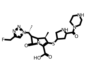 C[C@H](C1C(=O)N2C(C(=O)O)=C(SC3CNC(C(=O)N4CCNCC4)C3)[C@H](C)C12)n1cc(CF)nn1